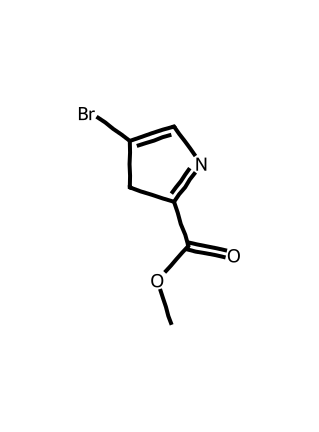 COC(=O)C1=NC=C(Br)C1